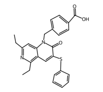 CCc1cc2c(cc(Sc3ccccc3)c(=O)n2Cc2ccc(C(=O)O)cc2)c(CC)n1